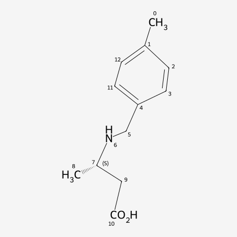 Cc1ccc(CN[C@@H](C)CC(=O)O)cc1